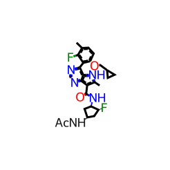 CC(=O)N[C@H]1C[C@@H](F)[C@H](NC(=O)c2c(C)[nH]c3c(-c4c(OCC5CC5)ccc(C)c4F)ncnc23)C1